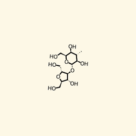 C[C@@H]1[C@@H](O)[C@H](O[C@H]2[C@H](O)[C@@H](CO)O[C@@H]2CO)O[C@@H](CO)[C@H]1O